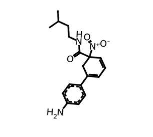 CC(C)CCNC(=O)C1([N+](=O)[O-])C=CC=C(c2ccc(N)cc2)C1